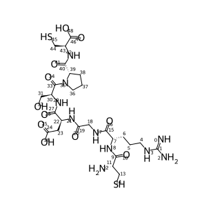 N=C(N)NCCC[C@H](NC(=O)[C@@H](N)CS)C(=O)NCC(=O)N[C@@H](CC(=O)O)C(=O)N[C@@H](CO)C(=O)N1CCC[C@H]1C(=O)N[C@@H](CS)C(=O)O